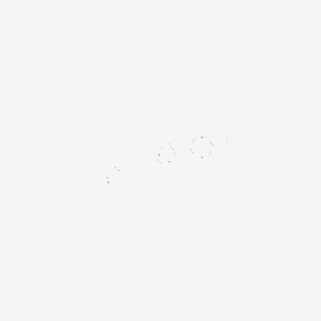 CC(C)(C)OC(=O)NCC1CCc2nc(-c3ccc(C(=O)O)cc3)cn2C1